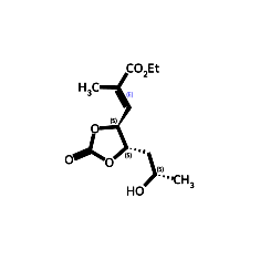 CCOC(=O)/C(C)=C/[C@@H]1OC(=O)O[C@H]1C[C@H](C)O